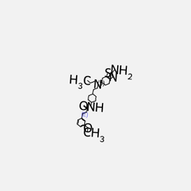 CCCN(CCC1CCC(NC(=O)/C=C/c2cccc(OC)c2)CC1)[C@H]1CCc2nc(N)sc2C1